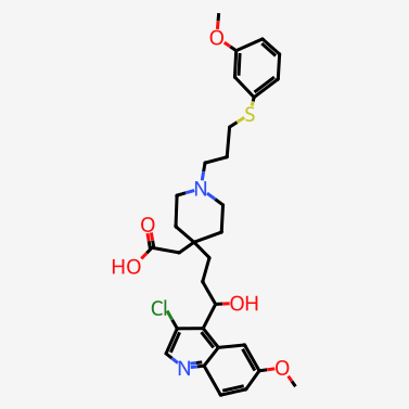 COc1cccc(SCCCN2CCC(CCC(O)c3c(Cl)cnc4ccc(OC)cc34)(CC(=O)O)CC2)c1